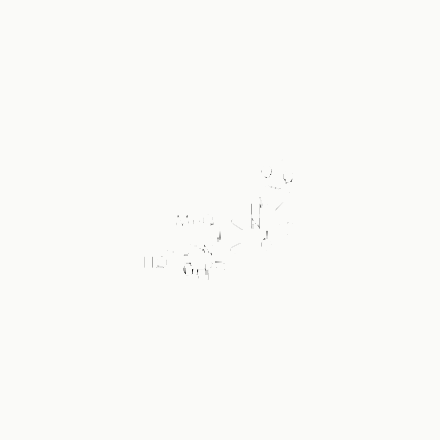 COc1cc(NC(=O)C2(c3ccc4c(c3)OCO4)CC2)cc2cc(C(C)(C)C)n(CC(O)CO)c12